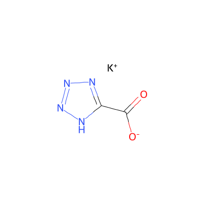 O=C([O-])c1nnn[nH]1.[K+]